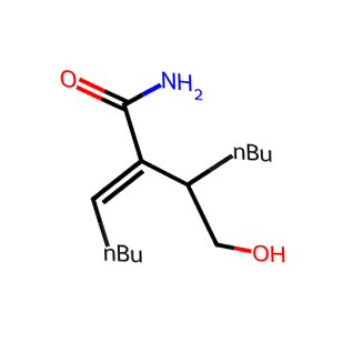 CCCCC=C(C(N)=O)C(CO)CCCC